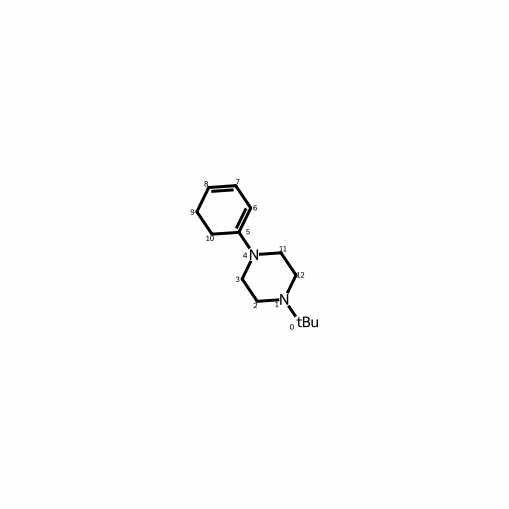 CC(C)(C)N1CCN(C2=CC=CCC2)CC1